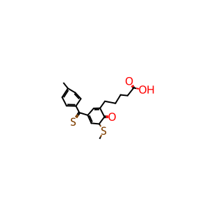 CSC1C=C(C(=S)c2ccc(C)cc2)C=C(CCCCC(=O)O)C1=O